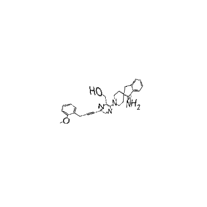 COc1ccccc1CC#Cc1cnc(N2CCC3(CC2)Cc2ccccc2[C@H]3N)c(CO)n1